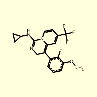 COc1cccc(C2=C3C=C(C(F)(F)F)C=CN3C(NC3CC3)=NC2)c1F